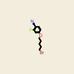 N#Cc1ccc(OCCCCCBr)cc1F